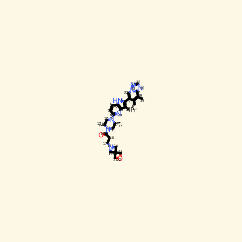 Cc1c(-c2[nH]c3ccc(N4C[C@@H](C)N(C(=O)CCN5CC6(COC6)C5)C[C@@H]4C)nc3c2C(C)C)cn2ncnc2c1C